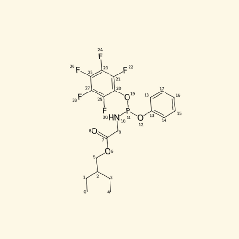 CCC(CC)COC(=O)CNP(Oc1ccccc1)Oc1c(F)c(F)c(F)c(F)c1F